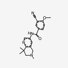 COc1ccc(C(=O)Nc2cnc3c(c2)CN(C)CC3(C)C)cc1C#N